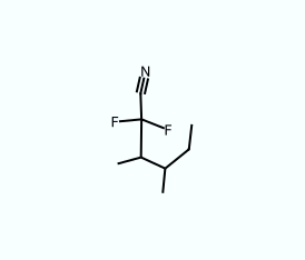 CCC(C)C(C)C(F)(F)C#N